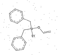 C=CO[Si](CC)(Cc1ccccc1)Cc1ccccc1